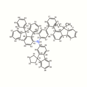 CC1(C)c2ccccc2-c2cccc(-c3ccccc3-c3ccc(N(c4ccc5c(c4)C4(CCCC4)c4ccccc4-5)c4cccc5c4-c4ccccc4C5(c4ccccc4)c4ccccc4)cc3)c21